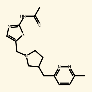 CC(=O)Nc1ncc(CN2CCC(Cc3ccc(C)nn3)C2)s1